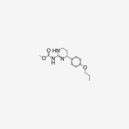 CCCOc1ccc(C2CCNC(NC(=O)OC)=N2)cc1